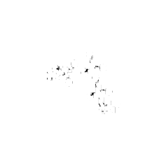 O=[N+]([O-])[O-].O=[N+]([O-])[O-].O=[Se]([O-])[O-].[Mg+2].[Na+].[Na+]